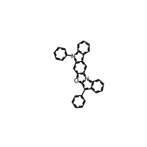 c1ccc(-c2c3ccccc3n3c2oc2cc4c(cc23)c2ccccc2n4-c2ccccc2)cc1